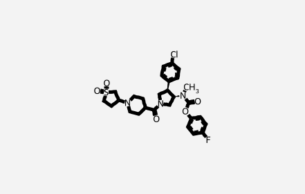 CN(C(=O)Oc1ccc(F)cc1)[C@@H]1CN(C(=O)C2CCN(C3CCS(=O)(=O)C3)CC2)C[C@H]1c1ccc(Cl)cc1